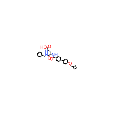 O=C(O)CC[C@H](NC(=O)c1ccc(-c2ccc(OCC3CCC3)cc2)cc1)C(=O)NCc1ccccc1